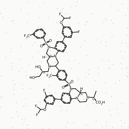 C[C@@H](C(=O)O)N1CCN2c3ccc(-c4cc(F)cc(OC(F)F)c4)cc3N(S(=O)(=O)c3ccc(C4CN5c6ccc(-c7cc(F)cc(OC(F)F)c7)cc6N(S(=O)(=O)c6cccc(C(F)(F)F)c6)C[C@@H]5CN4C[C@H](O)CO)c(C(F)(F)F)c3)C[C@@H]2C1